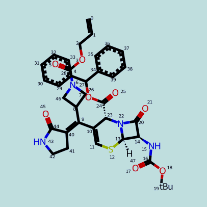 C=CCOC(=O)N1CC(C(C2=CS[C@@H]3[C@H](NC(=O)OC(C)(C)C)C(=O)N3[C@H]2C(=O)OC(c2ccccc2)c2ccccc2)=C2CCNC2=O)C1